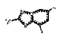 FC(F)(F)c1nc2c(Br)cc(Br)cn2n1